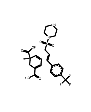 C[C@@]1(C(=O)O)C=CC=C(C(=O)O)C1.O=S(=O)(CC=Cc1ccc(C(F)(F)F)cc1)N1CCNCC1